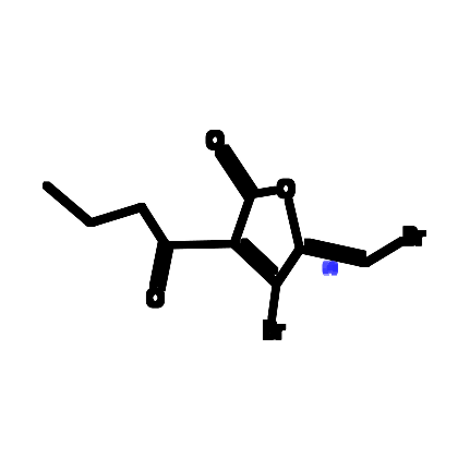 CCCC(=O)C1=C(Br)/C(=C/Br)OC1=O